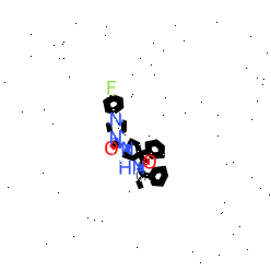 CC[C@H](NC(=O)C1(c2ccccc2)CCN(C(=O)N2CCN(c3ccc(F)cc3)CC2)CC1)c1ccccc1